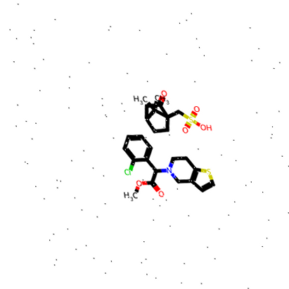 CC1(C)C2CCC1(CS(=O)(=O)O)C(=O)C2.COC(=O)C(c1ccccc1Cl)N1CCc2sccc2C1